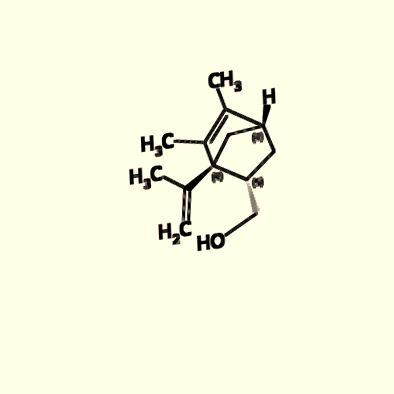 C=C(C)[C@@]12C[C@@H](C[C@@H]1CO)C(C)=C2C